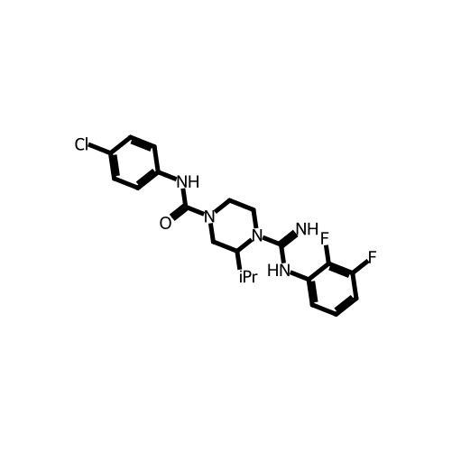 CC(C)C1CN(C(=O)Nc2ccc(Cl)cc2)CCN1C(=N)Nc1cccc(F)c1F